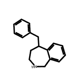 c1ccc(CC2CCNCc3ccccc32)cc1